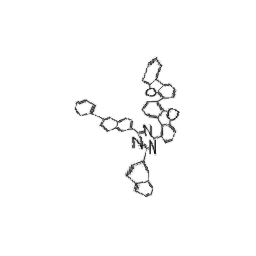 c1ccc(-c2ccc3cc(-c4nc(-c5ccc6ccccc6c5)nc(-c5cccc6oc7c(-c8cccc9c8oc8ccccc89)cccc7c56)n4)ccc3c2)cc1